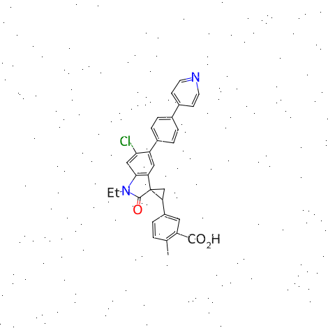 CCN1C(=O)C2(CC2c2ccc(C)c(C(=O)O)c2)c2cc(-c3ccc(-c4ccncc4)cc3)c(Cl)cc21